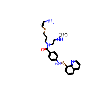 N/C=C\SCCCN(CCNC=O)C(=O)c1ccc(NSc2cccc3cccnc23)cc1